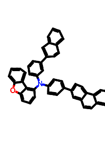 c1cc(-c2ccc3ccccc3c2)cc(N(c2ccc(-c3ccc4c(ccc5ccccc54)c3)cc2)c2cccc3oc4ccccc4c23)c1